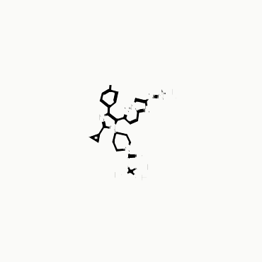 CC(C)(C)OC(=O)N1CCC(n2c(C3CC3)nc(-c3ccc(F)cc3)c2-c2ccc3nc(N=NN)cn3n2)CC1